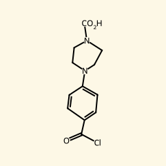 O=C(Cl)c1ccc(N2CCN(C(=O)O)CC2)cc1